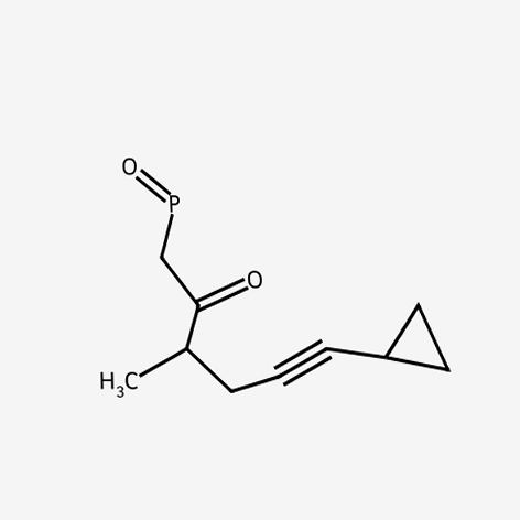 CC(CC#CC1CC1)C(=O)CP=O